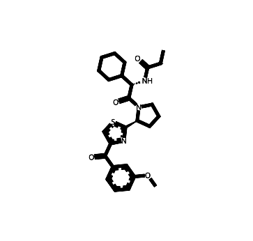 C[CH]C(=O)N[C@H](C(=O)N1CCC[C@H]1c1nc(C(=O)c2cccc(OC)c2)cs1)C1CCCCC1